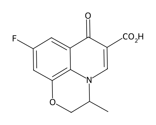 CC1COc2cc(F)cc3c(=O)c(C(=O)O)cn1c23